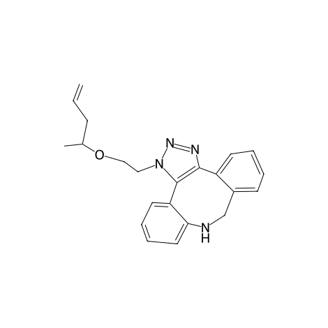 C=CCC(C)OCCn1nnc2c1-c1ccccc1NCc1ccccc1-2